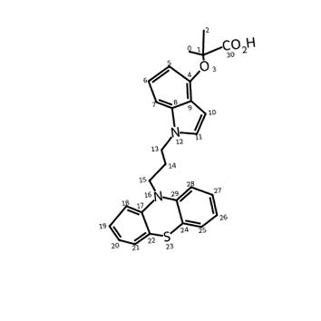 CC(C)(Oc1cccc2c1ccn2CCCN1c2ccccc2Sc2ccccc21)C(=O)O